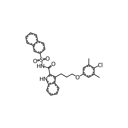 Cc1cc(OCCCc2c(C(=O)NS(=O)(=O)c3ccc4ccccc4c3)[nH]c3ccccc23)cc(C)c1Cl